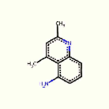 Cc1cc(C)c2c(N)cccc2n1